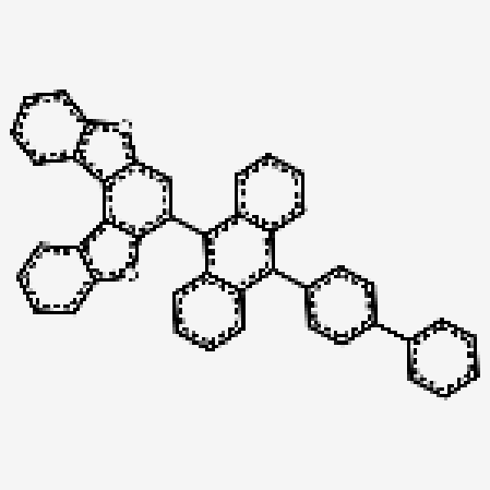 c1ccc(-c2ccc(-c3c4ccccc4c(-c4cc5oc6ccccc6c5c5c4oc4ccccc45)c4ccccc34)cc2)cc1